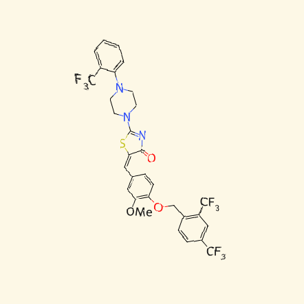 COc1cc(/C=C2/SC(N3CCN(c4ccccc4C(F)(F)F)CC3)=NC2=O)ccc1OCc1ccc(C(F)(F)F)cc1C(F)(F)F